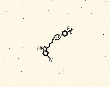 N#Cc1ccc2[nH]cc(CCCCN3CCN(c4ccc(C(F)(F)F)cc4)CC3)c2c1